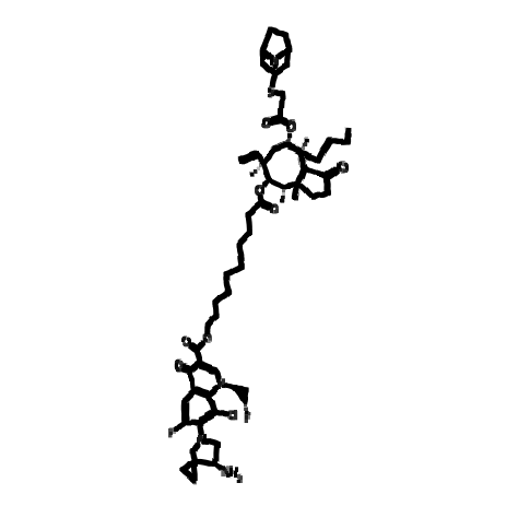 C=C[C@@]1(C)C[C@H](OC(=O)CSC2CC3CCC(C2)N3C)[C@@](C)(CCCC)C2C(=O)CCC2(C)[C@H](C)[C@H]1OC(=O)CCCCCCCCCOC(=O)c1cn(C2C[C@@H]2F)c2c(Cl)c(N3C[C@@H](N)C4(CC4)C3)c(F)cc2c1=O